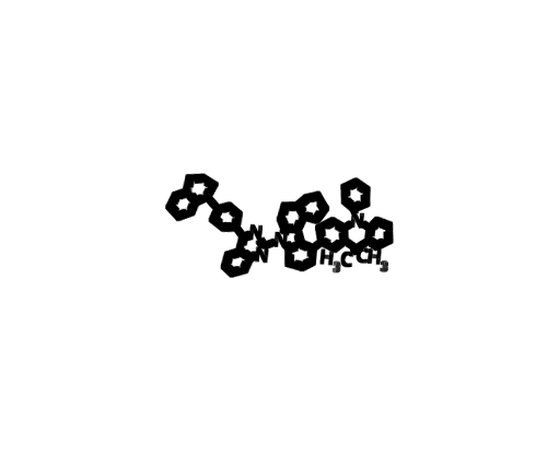 CC1(C)c2ccccc2N(c2ccccc2)c2ccc(-c3cccc4c3c3c5ccccc5ccc3n4-c3nc(-c4ccc(-c5cccc6ccccc56)cc4)c4ccccc4n3)cc21